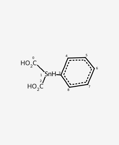 O=[C](O)[SnH]([C](=O)O)[c]1ccccc1